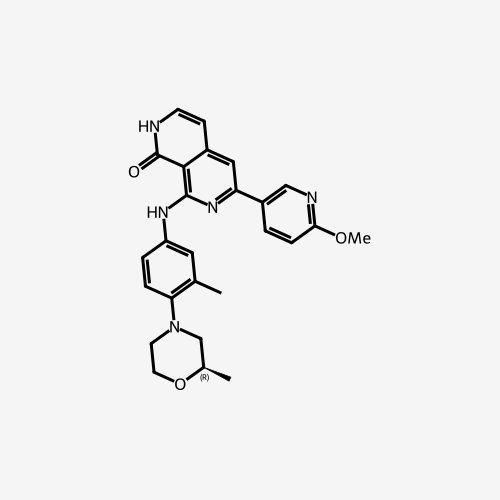 COc1ccc(-c2cc3cc[nH]c(=O)c3c(Nc3ccc(N4CCO[C@H](C)C4)c(C)c3)n2)cn1